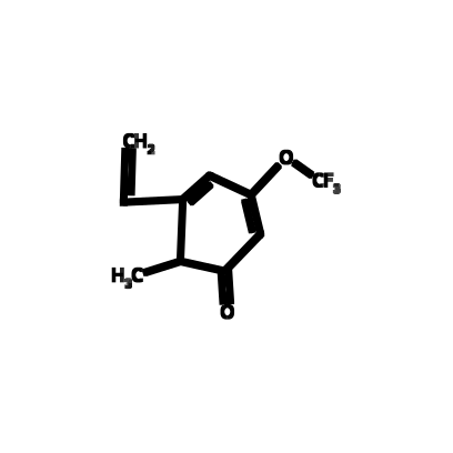 C=CC1=CC(OC(F)(F)F)=CC(=O)C1C